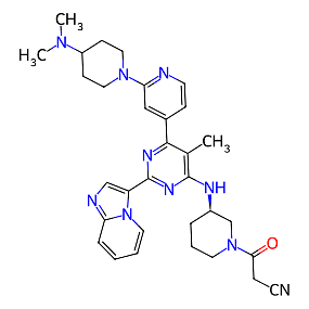 Cc1c(N[C@@H]2CCCN(C(=O)CC#N)C2)nc(-c2cnc3ccccn23)nc1-c1ccnc(N2CCC(N(C)C)CC2)c1